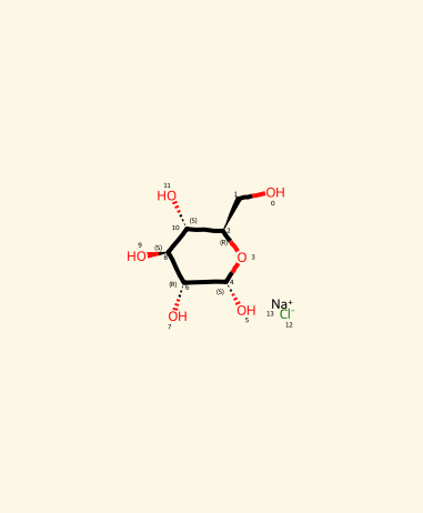 OC[C@H]1O[C@H](O)[C@H](O)[C@@H](O)[C@@H]1O.[Cl-].[Na+]